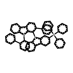 c1ccc(-c2ccccc2-n2c3ccccc3c3ccc(-c4ccccc4)c(-n4c5ccccc5c5ccc([Si](c6ccccc6)(c6ccccc6)c6ccccc6)cc54)c32)cc1